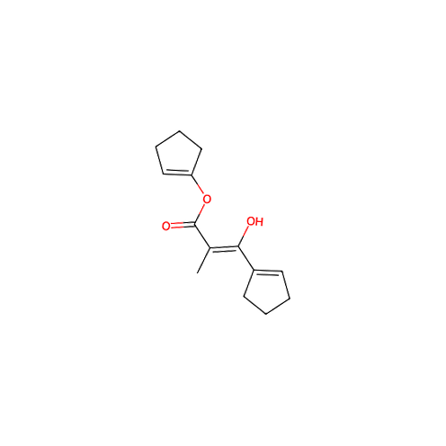 CC(C(=O)OC1=CCCC1)=C(O)C1=CCCC1